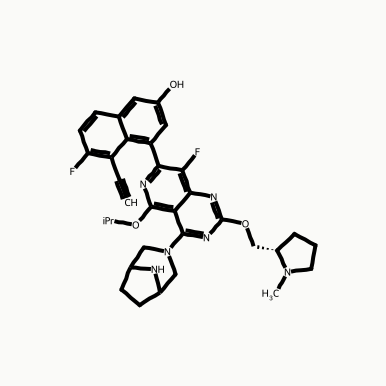 C#Cc1c(F)ccc2cc(O)cc(-c3nc(OC(C)C)c4c(N5CC6CCC(C5)N6)nc(OC[C@@H]5CCCN5C)nc4c3F)c12